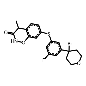 CC1C(=O)NOc2cc(Sc3cc(F)cc(C4(Br)CCOCC4)c3)ccc21